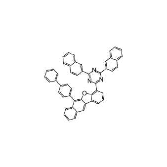 c1ccc(-c2ccc(-c3c4ccccc4cc4c3oc3c(-c5nc(-c6ccc7ccccc7c6)nc(-c6ccc7ccccc7c6)n5)cccc34)cc2)cc1